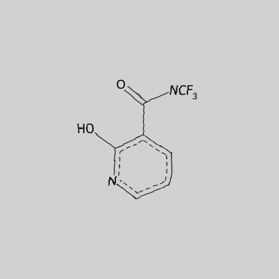 O=C(NC(F)(F)F)c1cccnc1O